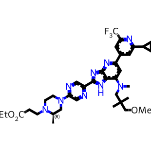 CCOC(=O)CCN1CCN(c2cnc(-c3nc4nc(-c5cc(C6CC6)nc(C(F)(F)F)c5)cc(N(C)CC(C)(C)COC)c4[nH]3)cn2)C[C@H]1C